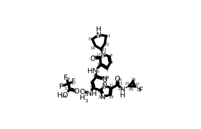 CNc1cc(Nc2cccn(C3CCNCC3)c2=O)nn2c(C(=O)N[C@@H]3C[C@@H]3F)cnc12.O=C(O)C(F)(F)F